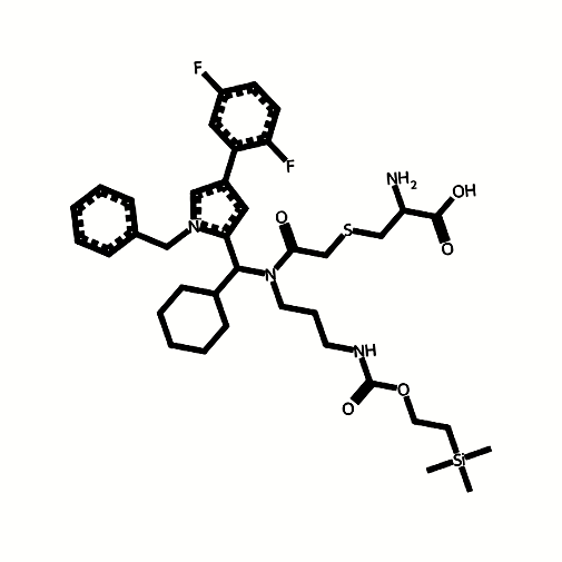 C[Si](C)(C)CCOC(=O)NCCCN(C(=O)CSCC(N)C(=O)O)C(c1cc(-c2cc(F)ccc2F)cn1Cc1ccccc1)C1CCCCC1